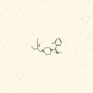 CCOC(CC)CN1CCN(/C(=N/C)c2ccccc2C)CC1